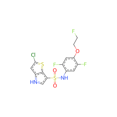 O=S(=O)(Nc1cc(F)c(OCCF)cc1F)c1c[nH]c2cc(Cl)sc12